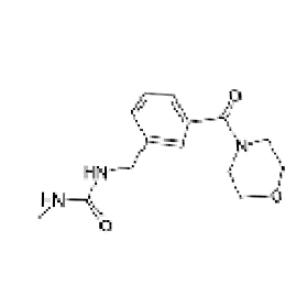 CNC(=O)NCc1cccc(C(=O)N2CCOCC2)c1